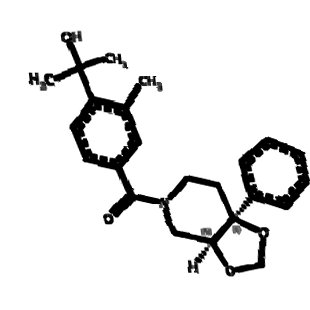 Cc1cc(C(=O)N2CC[C@@]3(c4ccccc4)OCO[C@H]3C2)ccc1C(C)(C)O